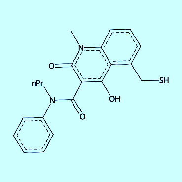 CCCN(C(=O)c1c(O)c2c(CS)cccc2n(C)c1=O)c1ccccc1